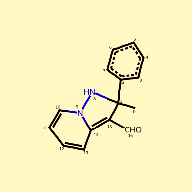 CC1(c2ccccc2)NN2C=CC=CC2=C1C=O